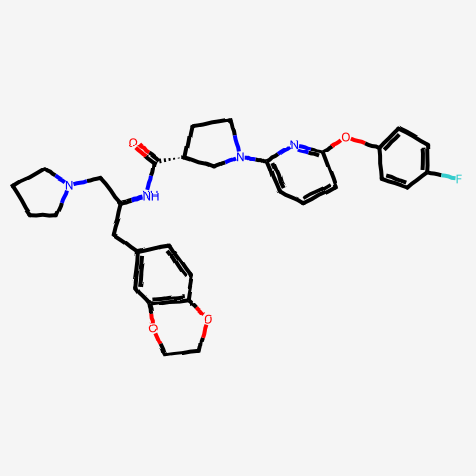 O=C(NC(Cc1ccc2c(c1)OCCO2)CN1CCCC1)[C@@H]1CCN(c2cccc(Oc3ccc(F)cc3)n2)C1